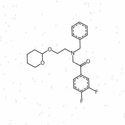 O=C(CN(CCOC1CCCCO1)Cc1ccccc1)c1ccc(F)c(F)c1